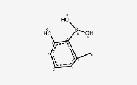 Cc1cccc(O)c1B(O)O